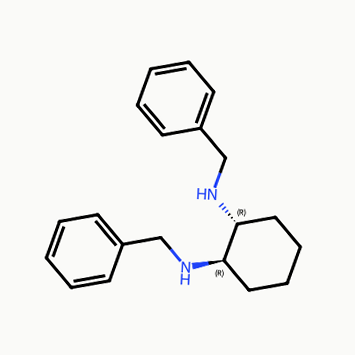 c1ccc(CN[C@@H]2CCCC[C@H]2NCc2ccccc2)cc1